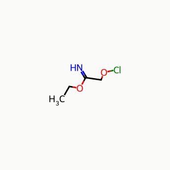 CCOC(=N)COCl